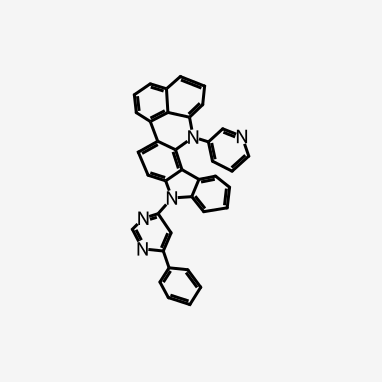 c1ccc(-c2cc(-n3c4ccccc4c4c5c(ccc43)-c3cccc4cccc(c34)N5c3cccnc3)ncn2)cc1